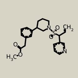 C=CC(c1cccnc1)S(=O)(=O)N1CCCC(c2cccc(CC(=O)OC)c2)C1